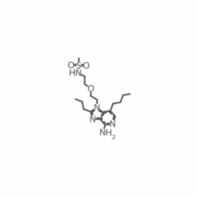 CCCCc1cnc(N)c2nc(CCC)n(CCOCCNS(C)(=O)=O)c12